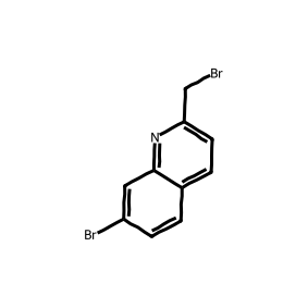 BrCc1ccc2ccc(Br)cc2n1